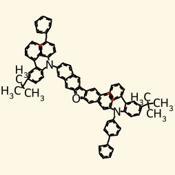 CC(C)(C)c1ccc(N(c2ccc(-c3ccccc3)cc2)c2ccc3cc4c(cc3c2)oc2cc3cc(N(c5ccc(-c6ccccc6)cc5)c5ccc(C(C)(C)C)cc5-c5ccccc5)ccc3cc24)c(-c2ccccc2)c1